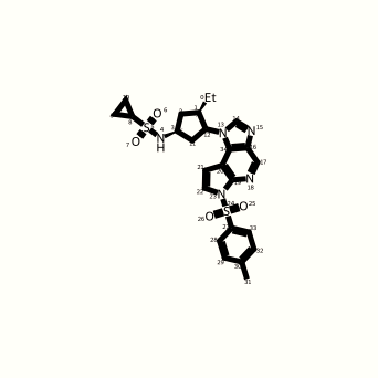 CC[C@@H]1C[C@H](NS(=O)(=O)C2CC2)CC1n1cnc2cnc3c(ccn3S(=O)(=O)c3ccc(C)cc3)c21